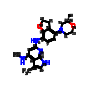 CCNc1cc(Nc2ccc(N3CCO[C@@H](C)C3)c3c2OCC3)nc2[nH]cc(C(F)(F)F)c12